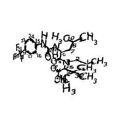 CCCN(C(=O)[C@H](CC(C)C)NC(=O)Nc1ccc(C(F)(F)F)cc1)C(C(=O)O)C(C)(C)C